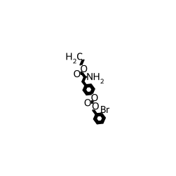 C=CCOC(=O)[C@@H](N)Cc1ccc(OC(=O)OCc2ccccc2Br)cc1